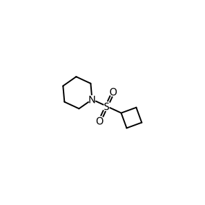 O=S(=O)(C1CCC1)N1CCCCC1